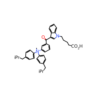 CC(C)Cc1ccc([N+](C)(c2ccc(CC(C)C)cc2)c2cccc(C(=O)c3cn(CCCCC(=O)O)c4ccccc34)c2)cc1